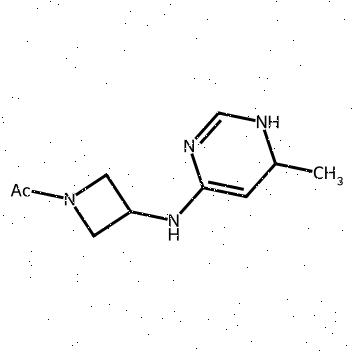 CC(=O)N1CC(NC2=CC(C)NC=N2)C1